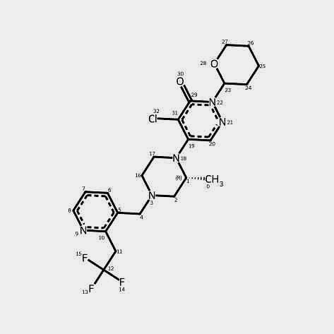 C[C@@H]1CN(Cc2cccnc2CC(F)(F)F)CCN1c1cnn(C2CCCCO2)c(=O)c1Cl